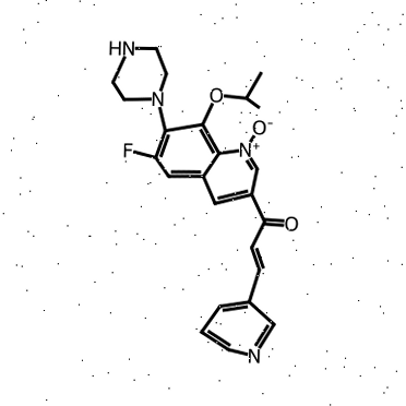 CC(C)Oc1c(N2CCNCC2)c(F)cc2cc(C(=O)C=Cc3cccnc3)c[n+]([O-])c12